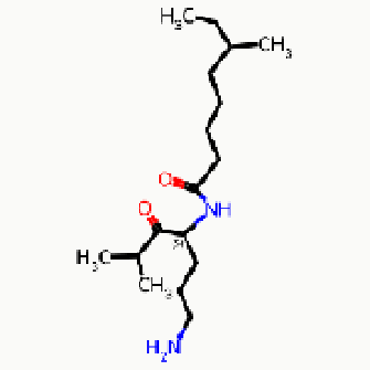 CCC(C)CCCCC(=O)N[C@@H](CCCN)C(=O)C(C)C